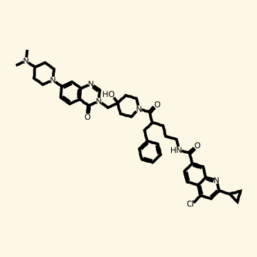 CN(C)C1CCN(c2ccc3c(=O)n(CC4(O)CCN(C(=O)C(CCCNC(=O)c5ccc6c(Cl)cc(C7CC7)nc6c5)Cc5ccccc5)CC4)cnc3c2)CC1